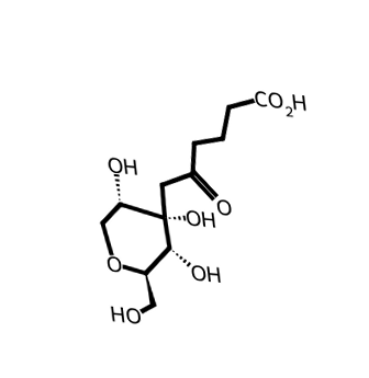 O=C(O)CCCC(=O)C[C@@]1(O)[C@H](O)[C@@H](CO)OC[C@@H]1O